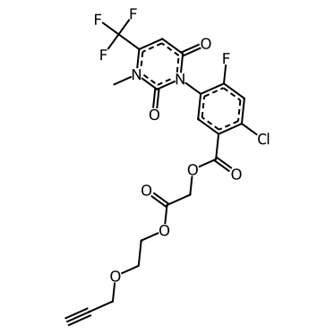 C#CCOCCOC(=O)COC(=O)c1cc(-n2c(=O)cc(C(F)(F)F)n(C)c2=O)c(F)cc1Cl